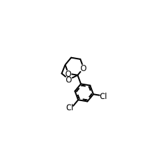 Clc1cc(Cl)cc(C23OCCC(CO2)O3)c1